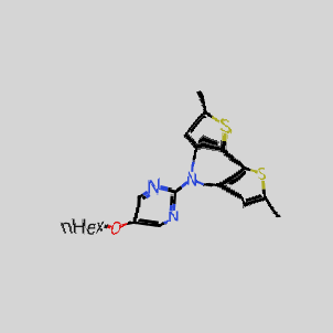 CCCCCCOc1cnc(-n2c3cc(C)sc3c3sc(C)cc32)nc1